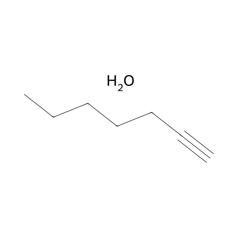 C#CCCCCC.O